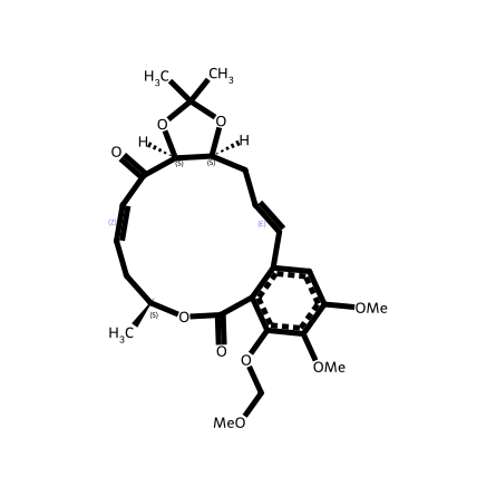 COCOc1c(OC)c(OC)cc2c1C(=O)O[C@@H](C)C/C=C\C(=O)[C@H]1OC(C)(C)O[C@H]1C/C=C/2